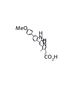 COc1ccc(-c2ccc3c(c2)NC(=O)/C3=C\c2[nH]cc(CCC(=O)O)c2C)cc1